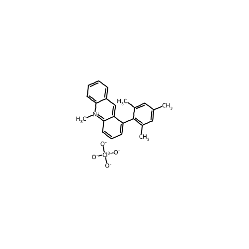 Cc1cc(C)c(-c2cccc3c2cc2ccccc2[n+]3C)c(C)c1.[O-][Cl+3]([O-])([O-])[O-]